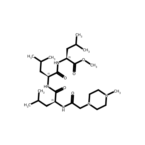 COC(=O)[C@H](CC(C)C)NC(=O)[C@H](CC(C)C)NC(=O)[C@H](CC(C)C)NC(=O)CN1CCN(C)CC1